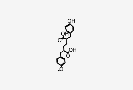 COc1ccc(C[C@@H](CC[C@H](Cc2ccc(O)cc2)C(=O)O)C(=O)O)cc1